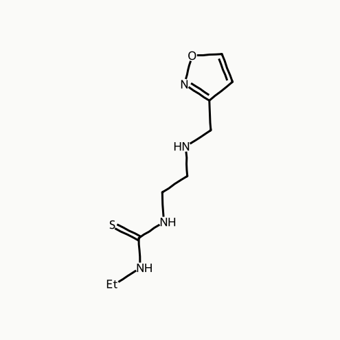 CCNC(=S)NCCNCc1ccon1